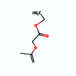 C=C(C)OCC(=O)OCC(=O)O